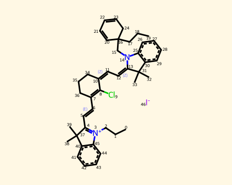 CCC[N+]1=C(/C=C/C2=C(Cl)C(=C\C=C3/N(CC4(CCC)C=CC=CC4)c4ccccc4C3(C)C)/CCC2)C(C)(C)c2ccccc21.[I-]